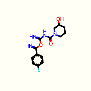 N=C(NC(=O)N1CCCC(O)C1)OC(=N)c1ccc(F)cc1